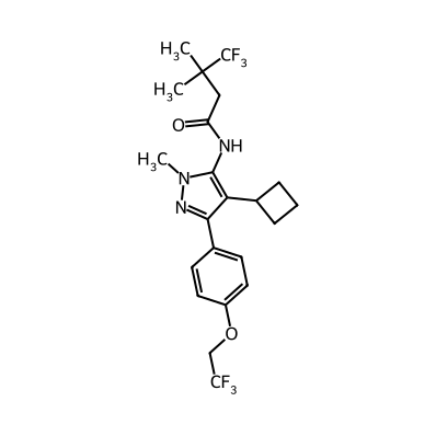 Cn1nc(-c2ccc(OCC(F)(F)F)cc2)c(C2CCC2)c1NC(=O)CC(C)(C)C(F)(F)F